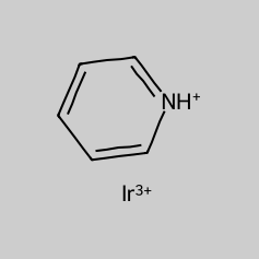 [Ir+3].c1cc[nH+]cc1